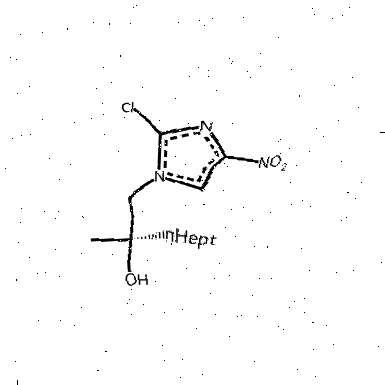 CCCCCCC[C@@](C)(O)Cn1cc([N+](=O)[O-])nc1Cl